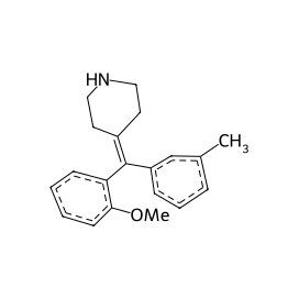 COc1ccccc1C(=C1CCNCC1)c1cccc(C)c1